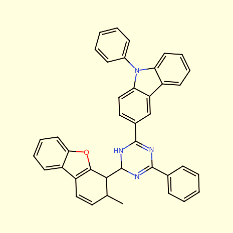 CC1C=Cc2c(oc3ccccc23)C1C1N=C(c2ccccc2)N=C(c2ccc3c(c2)c2ccccc2n3-c2ccccc2)N1